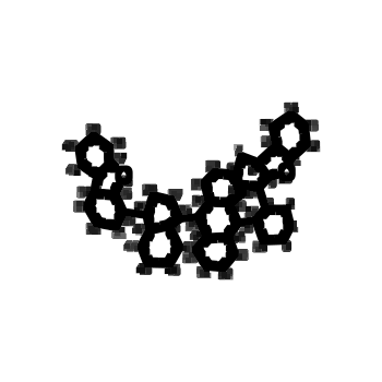 c1ccc(-c2cccc3c2oc2ccccc23)c(-c2c3ccccc3c(-c3ccc(-c4cccc5c4oc4ccccc45)c4ccccc34)c3ccccc23)c1